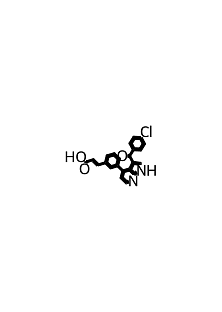 O=C(O)/C=C/c1cccc(-c2ccnc3[nH]cc(C(=O)c4ccc(Cl)cc4)c23)c1